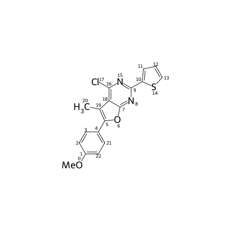 COc1ccc(-c2oc3nc(-c4cccs4)nc(Cl)c3c2C)cc1